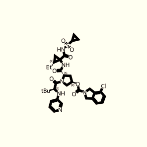 CC[C@@H]1CC1(NC(=O)[C@@H]1C[C@@H](OC(=O)N2Cc3cccc(Cl)c3C2)CN1C(=O)[C@@H](Nc1cccnc1)C(C)(C)C)C(=O)NS(=O)(=O)C1CC1